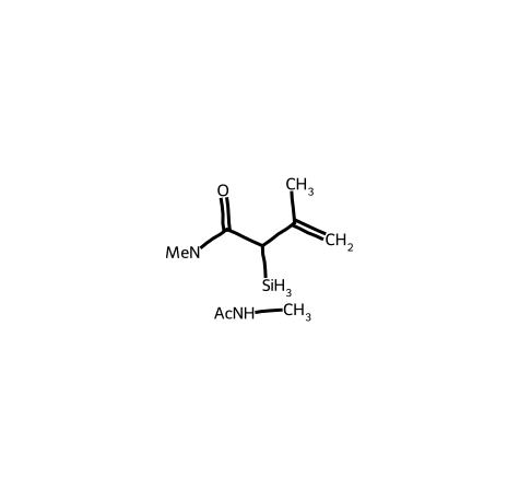 C=C(C)C([SiH3])C(=O)NC.CNC(C)=O